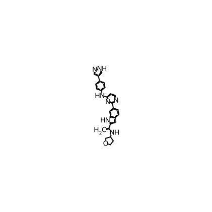 C=C(NC1CCOC1)c1cc2ccc(-c3nccc(Nc4ccc(-c5cn[nH]c5)cc4)n3)cc2[nH]1